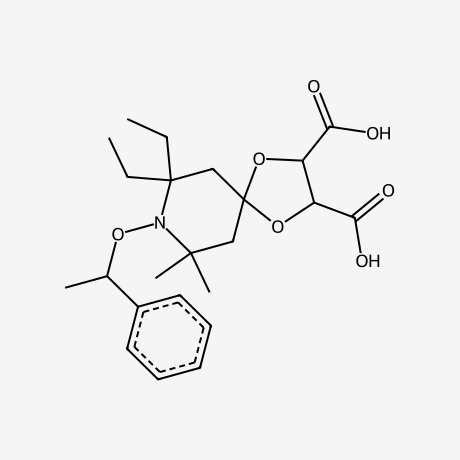 CCC1(CC)CC2(CC(C)(C)N1OC(C)c1ccccc1)OC(C(=O)O)C(C(=O)O)O2